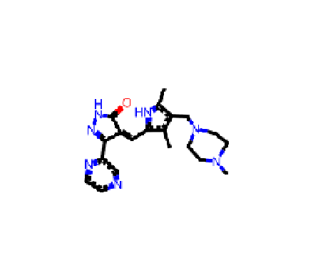 Cc1[nH]c(C=C2C(=O)NN=C2c2cnccn2)c(C)c1CN1CCN(C)CC1